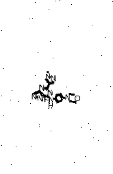 Cn1cc(-c2nc(Nc3ccc(N4CCOCC4)cc3)c3[nH]ncc3n2)cn1